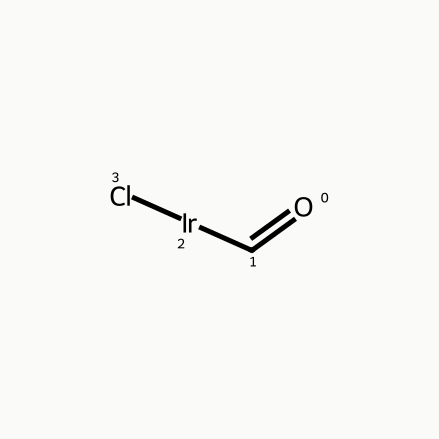 O=[CH][Ir][Cl]